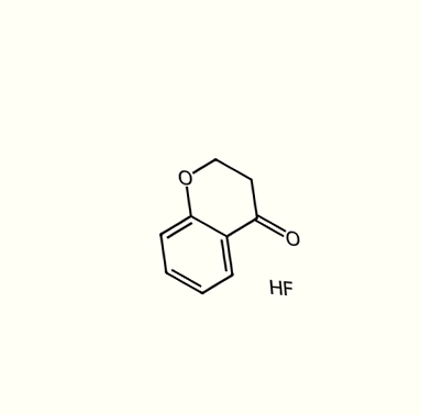 F.O=C1CCOc2ccccc21